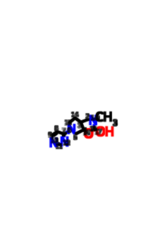 CN(CC1CCN(c2ccncn2)CC1)C(=O)O